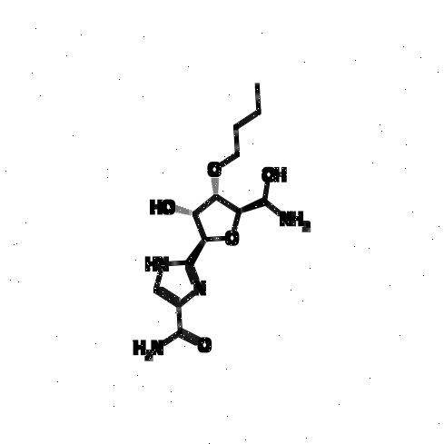 CCCCO[C@H]1[C@@H](O)[C@H](c2nc(C(N)=O)c[nH]2)O[C@@H]1C(N)O